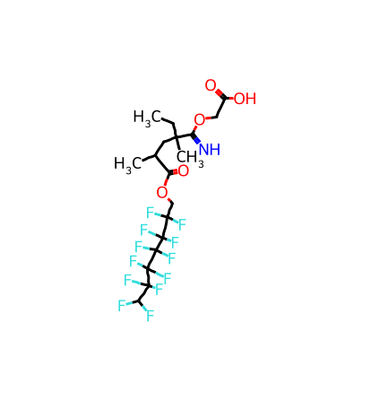 CCC(C)(CC(C)C(=O)OCC(F)(F)C(F)(F)C(F)(F)C(F)(F)C(F)(F)C(F)F)C(=N)OCC(=O)O